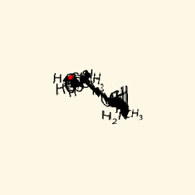 Cc1ncsc1-c1ccc(CNC(=O)[C@@H]2C[C@@H](O)CN2C(=O)[C@@H](NC(=O)C2(F)CC2)C(C)(C)C)c(OCCCCCCN2CCC(CCCC(=O)Nc3cccc(Sc4cnc(N5CCC(C)(CN)CC5)cn4)c3Cl)CC2)c1